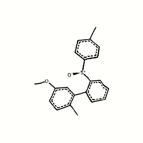 COc1ccc(C)c(-c2ccccc2[S@@+]([O-])c2ccc(C)cc2)c1